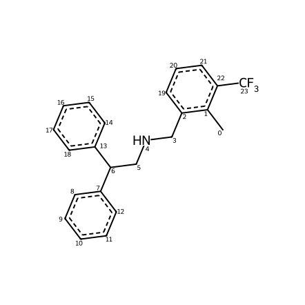 Cc1c(CNCC(c2ccccc2)c2ccccc2)cccc1C(F)(F)F